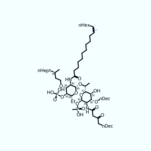 CCCCCC/C=C\CCCCCCCCCC(=O)N[C@H]1[C@H](OC(C)[C@H]2O[C@H](OP(C)(=O)O)[C@H](NC(=O)CC(=O)CCCCCCCCCCC)[C@@H](OCCCCCCCCCC)[C@@H]2O)O[C@H](CC)[C@@H](OP(=O)(O)O)[C@@H]1OCC[C@H](C)CCCCCCC